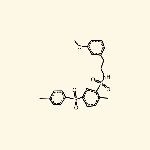 COc1cccc(CCNS(=O)(=O)c2cc(S(=O)(=O)c3ccc(C)cc3)ccc2C)c1